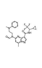 Cc1cc(N(C=O)CCN(C)c2ccccc2)nc2c(C(=O)NC(C3CC3)C(F)(F)F)cnn12